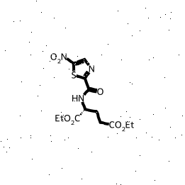 CCOC(=O)CC[C@@H](NC(=O)c1ncc([N+](=O)[O-])s1)C(=O)OCC